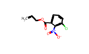 C=CCOC(=O)c1cccc(Cl)c1[N+](=O)[O-]